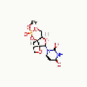 CC(C)OP1(=O)OC[C@H]2O[C@@H](n3ccc(=O)[nH]c3=O)[C@@]3(CCO3)[C@@H]2O1